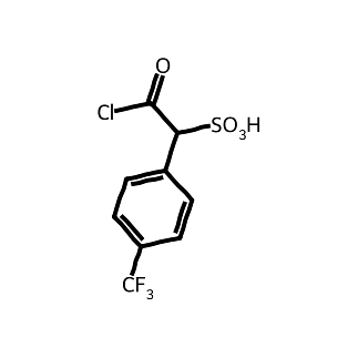 O=C(Cl)C(c1ccc(C(F)(F)F)cc1)S(=O)(=O)O